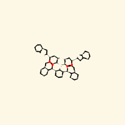 c1cc(-c2cccc3ccccc23)c(N2c3ccc(-c4cc5ccccc5o4)cc3Oc3cc(-c4cc5ccccc5o4)ccc32)c(-c2cccc3ccccc23)c1